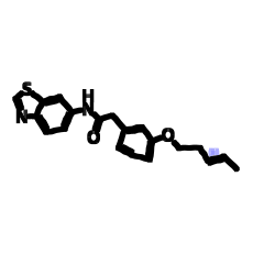 C/C=C/CCOc1cccc(CC(=O)Nc2ccc3ncsc3c2)c1